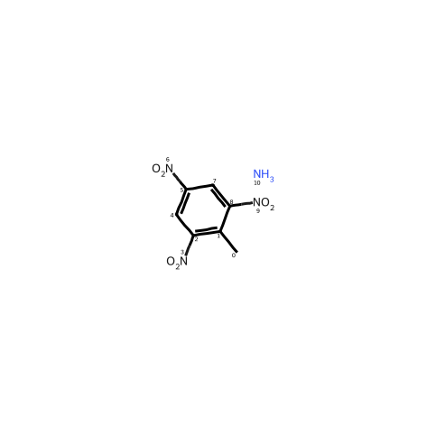 Cc1c([N+](=O)[O-])cc([N+](=O)[O-])cc1[N+](=O)[O-].N